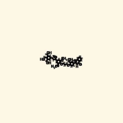 COc1cc(C2CC(c3cc(CO)c(CO)c(CO)c3)=NO2)cc(OC)c1OCCCOc1ccc(C2NC(=O)c3ccccc3N2)cc1CO